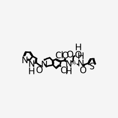 O=C(NC[C@H](NC(=O)c1c(Cl)cc2c(c1Cl)CCN(C(=O)c1cc3cccnc3[nH]1)C2)C(=O)O)c1cccs1